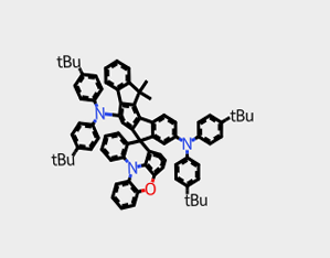 CC(C)(C)c1ccc(N(c2ccc(C(C)(C)C)cc2)c2ccc3c(c2)C2(c4ccccc4N4c5ccccc5Oc5cccc2c54)c2cc(N(c4ccc(C(C)(C)C)cc4)c4ccc(C(C)(C)C)cc4)c4c(c2-3)C(C)(C)c2ccccc2-4)cc1